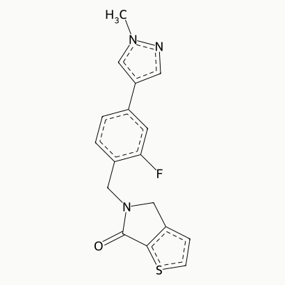 Cn1cc(-c2ccc(CN3Cc4ccsc4C3=O)c(F)c2)cn1